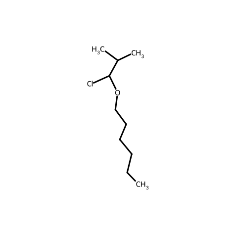 CCCCCCOC(Cl)C(C)C